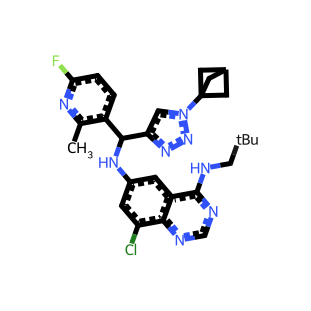 Cc1nc(F)ccc1C(Nc1cc(Cl)c2ncnc(NCC(C)(C)C)c2c1)c1cn(C23CC(C2)C3)nn1